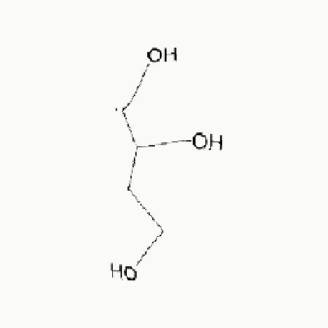 O[CH]C(O)CCO